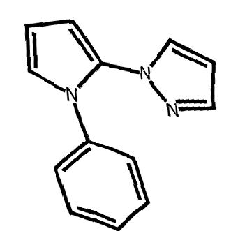 c1ccc(-n2cccc2-n2cccn2)cc1